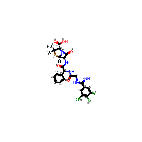 CC1(C)S[C@@H]2[C@H](NC(=O)C(NC(=O)CNC(=N)c3cc(Cl)c(Br)c(Cl)c3)c3ccccc3)C(=O)N2[C@H]1C(=O)O